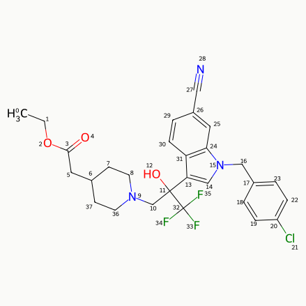 CCOC(=O)CC1CCN(CC(O)(c2cn(Cc3ccc(Cl)cc3)c3cc(C#N)ccc23)C(F)(F)F)CC1